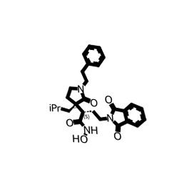 CC(C)C[C@@]1([C@H](CCN2C(=O)c3ccccc3C2=O)C(=O)NO)CCN(CCc2ccccc2)C1=O